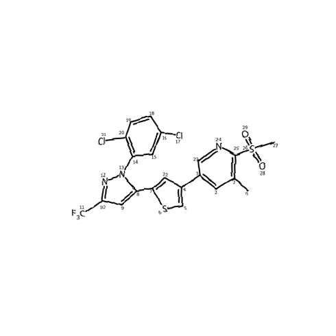 Cc1cc(-c2csc(-c3cc(C(F)(F)F)nn3-c3cc(Cl)ccc3Cl)c2)cnc1S(C)(=O)=O